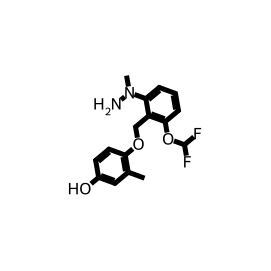 Cc1cc(O)ccc1OCc1c(OC(F)F)cccc1N(C)N